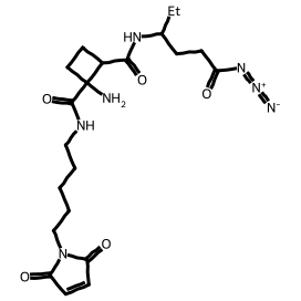 CCC(CCC(=O)N=[N+]=[N-])NC(=O)C1CCC1(N)C(=O)NCCCCCN1C(=O)C=CC1=O